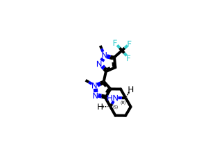 Cn1nc(-c2c3c(nn2C)[C@@H]2CCC[C@H](C3)N2)cc1C(F)(F)F